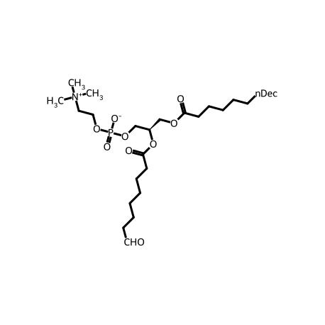 CCCCCCCCCCCCCCCC(=O)OC[C@H](COP(=O)([O-])OCC[N+](C)(C)C)OC(=O)CCCCCCC=O